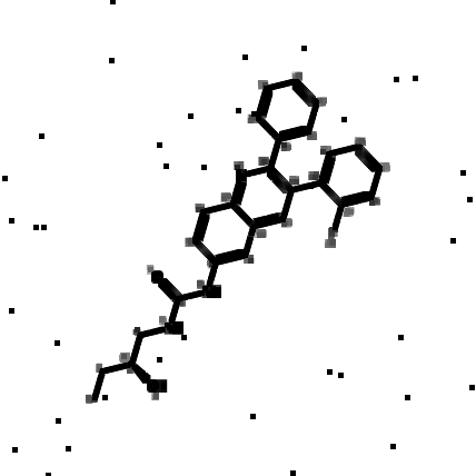 CC[C@H](O)CNC(=O)Nc1ccc2nc(-c3ccccc3)c(-c3ccccc3F)cc2c1